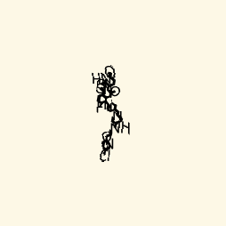 O=C1CCC(N2C(=O)Cc3c(ccc(F)c3N3CCC(CN4CCC(NCCOc5ccc(Cl)cn5)CC4)CC3)C2=O)C(=O)N1